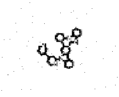 c1cncc(-c2ccnc(-n3c4ccccc4c4cc5c(cc43)c3ccccc3n3c4ccccc4nc53)c2)c1